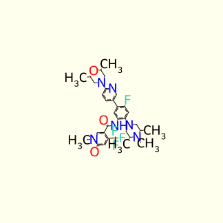 CC1CN(c2ccc(-c3cc(NC(=O)c4cn(C)c(=O)cc4C(F)(F)F)c(N4CC(C)N(C)C(C)C4)cc3F)cn2)CC(C)O1